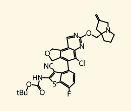 C=C1CN2CCC[C@]2(COc2ncc3c4c(c(-c5ccc(F)c6sc(NC(=O)OC(C)(C)C)c(C#N)c56)c(Cl)c3n2)COC4)C1